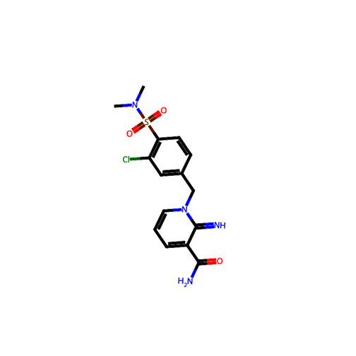 CN(C)S(=O)(=O)c1ccc(Cn2cccc(C(N)=O)c2=N)cc1Cl